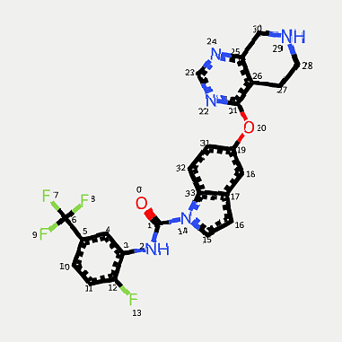 O=C(Nc1cc(C(F)(F)F)ccc1F)n1ccc2cc(Oc3ncnc4c3CCNC4)ccc21